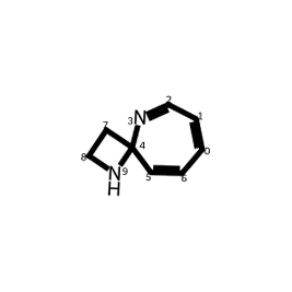 C1=CC=NC2(C=C1)CCN2